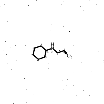 O=CCNC1CCCCC1